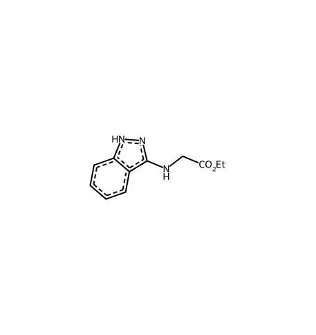 CCOC(=O)CNc1n[nH]c2ccccc12